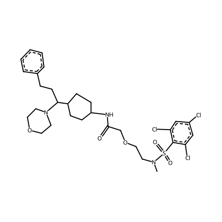 CN(CCOCC(=O)NC1CCC(C(CCc2ccccc2)N2CCOCC2)CC1)S(=O)(=O)c1c(Cl)cc(Cl)cc1Cl